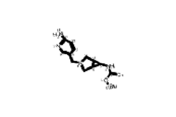 CC(C)(C)OC(=O)NC1C2CN(Cc3ccc(N)nc3)CC21